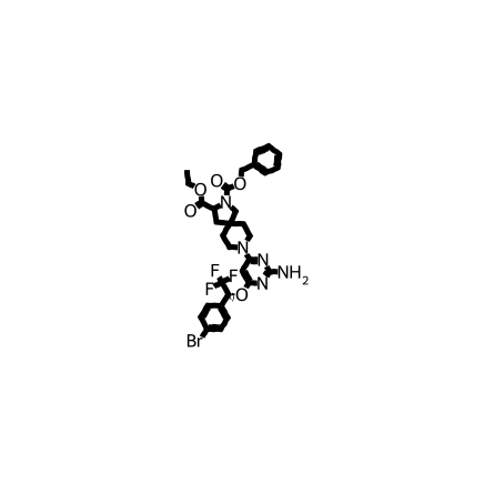 CCOC(=O)C1CC2(CCN(c3cc(O[C@H](c4ccc(Br)cc4)C(F)(F)F)nc(N)n3)CC2)CN1C(=O)OCc1ccccc1